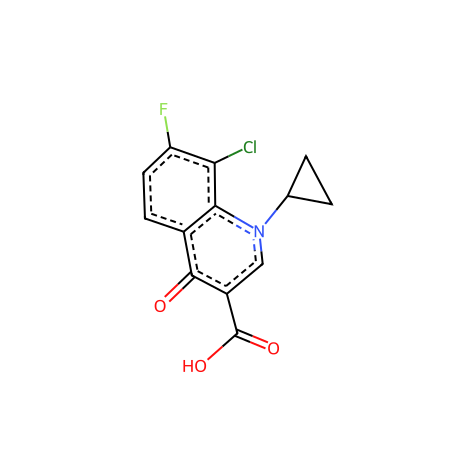 O=C(O)c1cn(C2CC2)c2c(Cl)c(F)ccc2c1=O